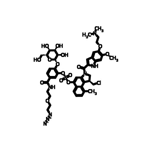 COc1cc2[nH]c(C(=O)N3C[C@@H](CCl)c4c3cc(OS(=O)(=O)Oc3cc(C(=O)NCCOCCN=[N+]=[N-])ccc3O[C@@H]3O[C@H](CO)[C@H](O)[C@H](O)[C@H]3O)c3cccc(C)c43)cc2cc1OCCN(C)C